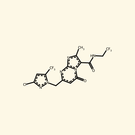 Cc1sc2nc(Cn3nc(Cl)cc3C(F)(F)F)cc(=O)n2c1C(=O)NCC(F)(F)F